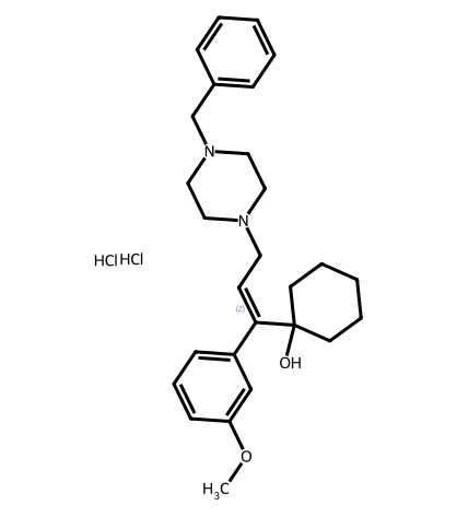 COc1cccc(/C(=C/CN2CCN(Cc3ccccc3)CC2)C2(O)CCCCC2)c1.Cl.Cl